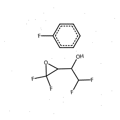 Fc1ccccc1.OC(C(F)F)C1OC1(F)F